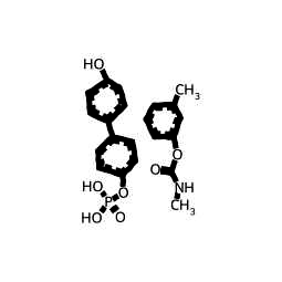 CNC(=O)Oc1cccc(C)c1.O=P(O)(O)Oc1ccc(-c2ccc(O)cc2)cc1